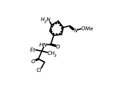 CCC(C)(NC(=O)c1cc(N)cc(C=NOC)c1)C(=O)CCl